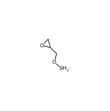 [SiH2]OCC1CO1